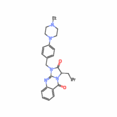 CCN1CCN(c2ccc(CN3C(=O)C(CC(C)C)n4c3nc3ccccc3c4=O)cc2)CC1